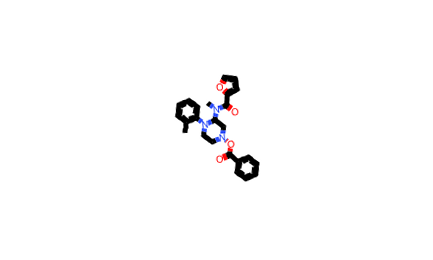 Cc1ccccc1N1CCN(OC(=O)c2ccccc2)CC1N(C)C(=O)c1ccco1